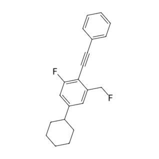 FCc1cc(C2CCCCC2)cc(F)c1C#Cc1ccccc1